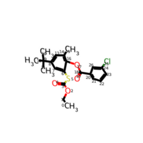 CCOC(=O)Sc1cc(C(C)(C)C)cc(C)c1OC(=O)c1cccc(Cl)c1